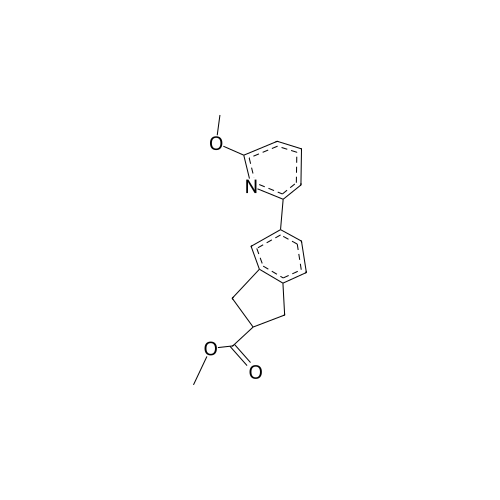 COC(=O)C1Cc2ccc(-c3cccc(OC)n3)cc2C1